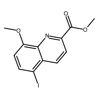 COC(=O)c1ccc2c(I)ccc(OC)c2n1